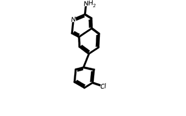 Nc1cc2ccc(-c3cccc(Cl)c3)cc2cn1